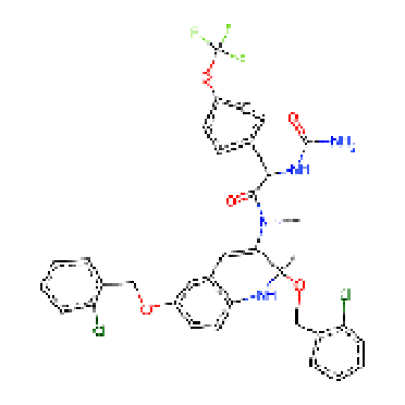 CN(C(=O)C(NC(N)=O)c1ccc(OC(F)(F)F)cc1)C1=Cc2cc(OCc3ccccc3Cl)ccc2NC1(C)OCc1ccccc1Cl